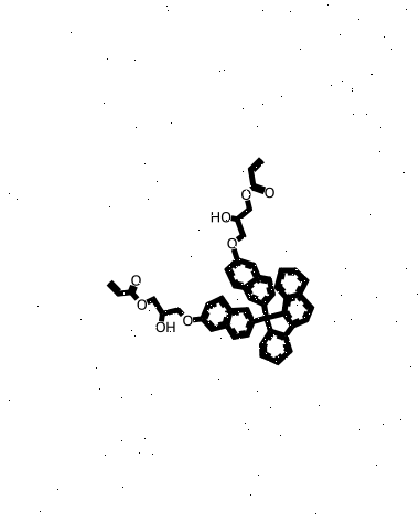 C=CC(=O)OCC(O)COc1ccc2cc(C3(c4ccc5cc(OCC(O)COC(=O)C=C)ccc5c4)c4ccccc4-c4ccc5ccccc5c43)ccc2c1